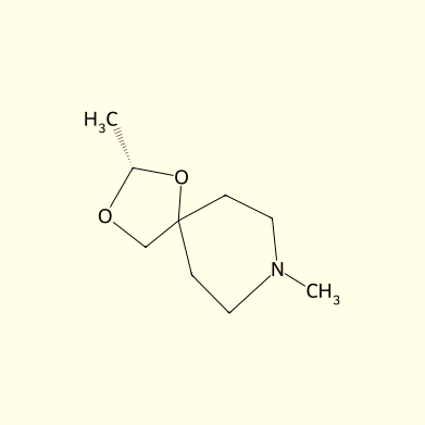 C[C@H]1OCC2(CCN(C)CC2)O1